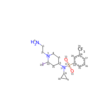 NCCN1CCC(N(C2CC2)S(=O)(=O)c2cccc(C(F)(F)F)c2)CC1I